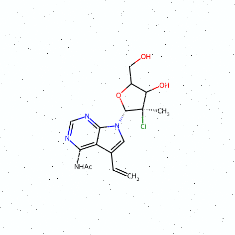 C=Cc1cn([C@@H]2OC(CO)C(O)[C@@]2(C)Cl)c2ncnc(NC(C)=O)c12